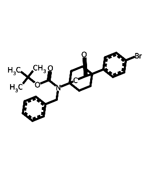 CC(C)(C)OC(=O)N(Cc1ccccc1)C12CCC(c3ccc(Br)cc3)(CC1)C(=O)C2